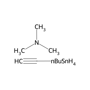 C#CCCCC.CN(C)C.[SnH4]